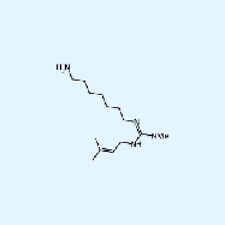 CNC(=NCCCCCCCN)NCC=C(C)C